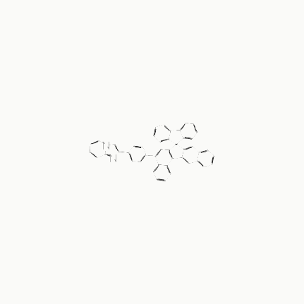 c1ccc2c(c1)-c1ccccc1C21c2cc3ccccc3cc2-c2c1cc(-c1ccc(-c3cn4ccccc4n3)cc1)c1ccccc21